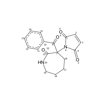 O=C1C=CC(=O)N1C1(C(=O)c2ccccc2)CCCCNC1=O